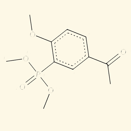 COc1ccc(C(C)=O)cc1P(=O)(OC)OC